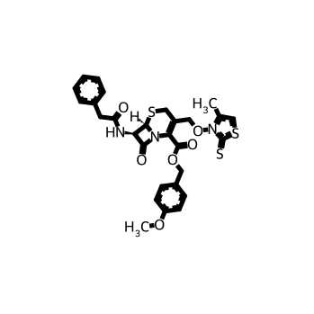 COc1ccc(COC(=O)C2=C(COn3c(C)csc3=S)CS[C@@H]3[C@H](NC(=O)Cc4ccccc4)C(=O)N23)cc1